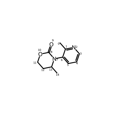 Cc1ncccc1N1C(=O)OCCC1C